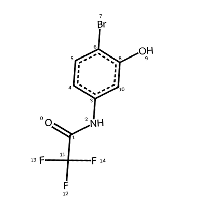 O=C(Nc1ccc(Br)c(O)c1)C(F)(F)F